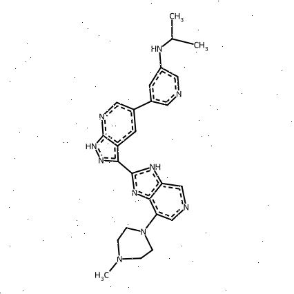 CC(C)Nc1cncc(-c2cnc3[nH]nc(-c4nc5c(N6CCN(C)CC6)cncc5[nH]4)c3c2)c1